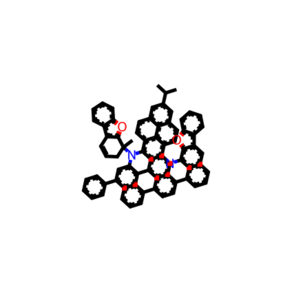 CC(C)c1cc2ccc3c(N(c4cc(-c5ccccc5)ccc4-c4ccccc4)c4cccc5c4oc4ccccc45)cc(N(c4cc(-c5ccccc5)ccc4-c4ccccc4)C4(C)CC=Cc5c4oc4ccccc54)c4ccc(c1)c2c34